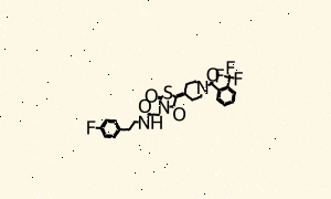 O=C(CN1C(=O)SC(=C2CCN(C(=O)c3ccccc3C(F)(F)F)CC2)C1=O)NCCc1ccc(F)cc1